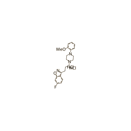 COc1ccccc1N1CCN(CCCc2noc3cc(F)ccc23)CC1.Cl.Cl